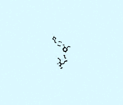 CCc1cc(NC(=O)c2ncc(Cc3c(C(F)(F)F)n[nH]c3CC#N)[nH]2)ccc1C(=O)N1CCN(C(=O)C2CC(N)C2)CC1